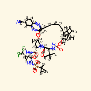 CC(C)(C)[C@@H]1NC(=O)O[C@@H]2C[C@@H]3CC[C@@H]3[C@H]2CCCCCc2nc3ccc(C#N)cc3nc2O[C@@H]2C[C@@H](C(=O)N[C@]3(C(=O)NS(=O)(=O)C4(C)CC4)C[C@H]3C(F)F)N(C2)C1=O